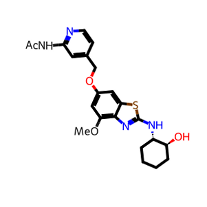 COc1cc(OCc2ccnc(NC(C)=O)c2)cc2sc(N[C@H]3CCCC[C@@H]3O)nc12